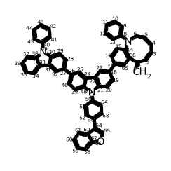 C=C1/C=C\C=C/CN(c2ccccc2)c2ccc(-c3ccc4c(c3)c3cc(-c5ccc6c(c5)c5ccccc5n6-c5ccccc5)ccc3n4-c3ccc(-c4coc5ccccc45)cc3)cc21